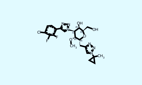 CO[C@@H]1[C@@H](n2cc(-c3ccc(Cl)c(F)c3F)nn2)[C@@H](O)[C@@H](CO)O[C@@H]1Cc1cn(C2(C)CC2)nn1